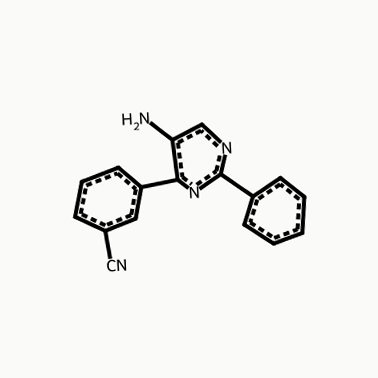 N#Cc1cccc(-c2nc(-c3ccccc3)ncc2N)c1